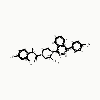 C[C@H]1CN(C(=O)Nc2ccc(F)cc2F)CCN1c1nnc(-c2ccc(C#N)cc2)c2ccccc12